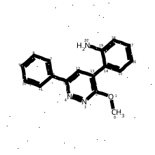 COc1nnc(-c2ccccc2)cc1-c1ccccc1N